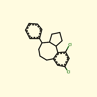 Clc1cc(Cl)c2c(c1)CCCC(c1ccccc1)C1CCCC21